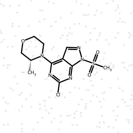 C[C@@H]1COCCN1c1nc(Cl)nc2c1cnn2S(C)(=O)=O